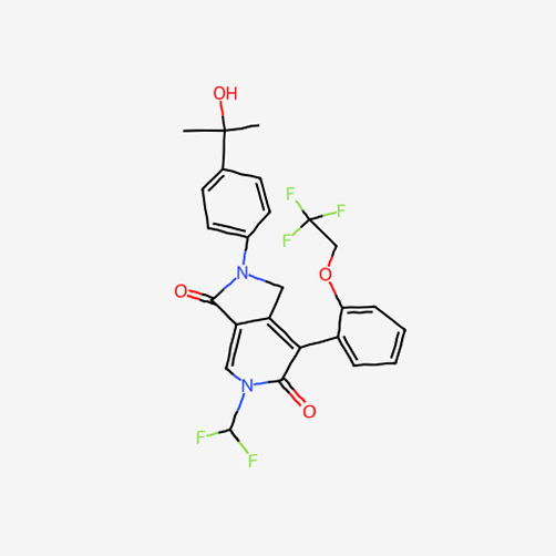 CC(C)(O)c1ccc(N2Cc3c(cn(C(F)F)c(=O)c3-c3ccccc3OCC(F)(F)F)C2=O)cc1